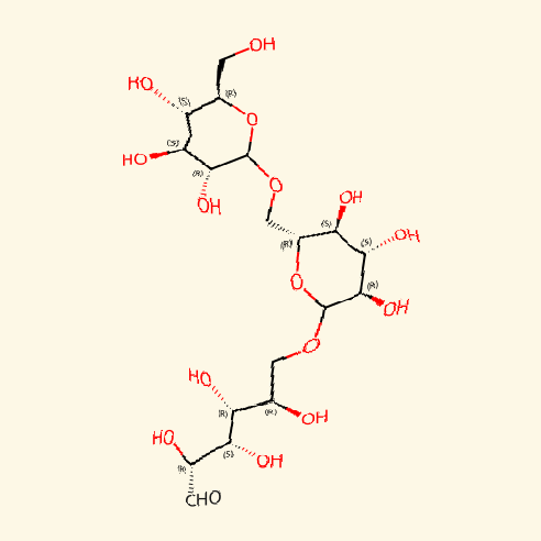 O=C[C@H](O)[C@@H](O)[C@H](O)[C@H](O)COC1O[C@H](COC2O[C@H](CO)[C@@H](O)[C@H](O)[C@H]2O)[C@@H](O)[C@H](O)[C@H]1O